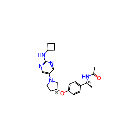 CC(=O)N[C@@H](C)c1ccc(O[C@@H]2CCN(c3cnc(NC4CCC4)nc3)C2)cc1